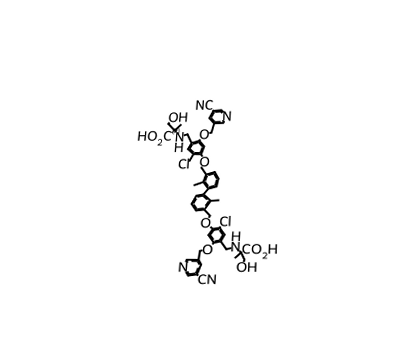 Cc1c(COc2cc(OCc3cncc(C#N)c3)c(CNC(C)(CO)C(=O)O)cc2Cl)cccc1-c1cccc(COc2cc(OCc3cncc(C#N)c3)c(CN[C@](C)(CO)C(=O)O)cc2Cl)c1C